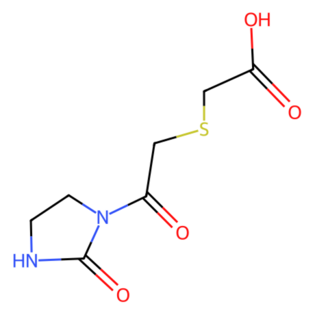 O=C(O)CSCC(=O)N1CCNC1=O